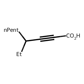 CCCCCC(C#CC(=O)O)CC